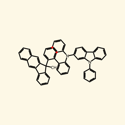 CC1(c2ccccc2-c2ccccc2N(c2ccccc2)c2ccc3c4ccccc4n(-c4ccccc4)c3c2)c2ccccc2-c2cc3ccccc3cc21